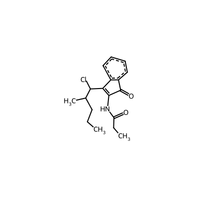 CCCC(C)C(Cl)C1=C(NC(=O)CC)C(=O)c2ccccc21